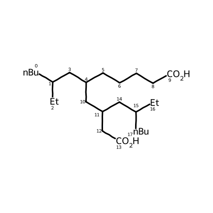 CCCCC(CC)CC(CCCCC(=O)O)CC(CC(=O)O)CC(CC)CCCC